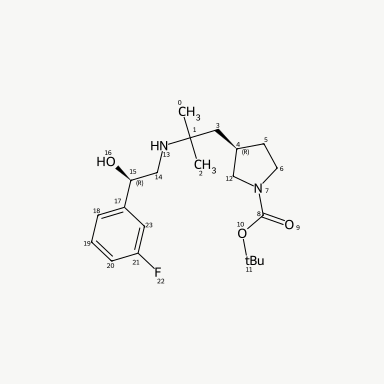 CC(C)(C[C@H]1CCN(C(=O)OC(C)(C)C)C1)NC[C@H](O)c1cccc(F)c1